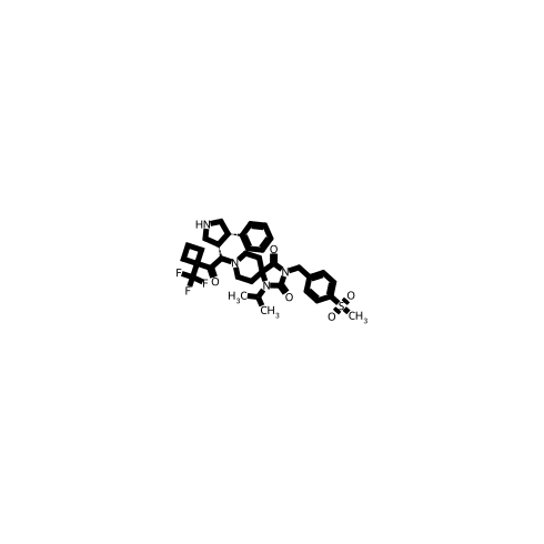 CC(C)N1C(=O)N(Cc2ccc(S(C)(=O)=O)cc2)C(=O)C12CCN(C(C(=O)C1(C(F)(F)F)CCC1)[C@@H]1CNC[C@@H]1c1ccccc1)CC2